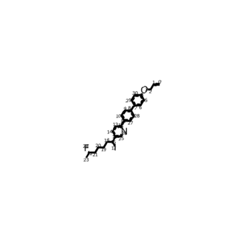 C=CCOc1ccc(-c2ccc(-c3ccc(C(I)CCCCC(C)F)cn3)cc2)cc1